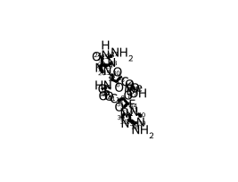 COC1C2COP(=O)(O)OC3C(COS(=O)(=O)NC1C(n1cnc4c(=O)[nH]c(N)nc41)O2)OC(n1cnc2c(N)ncnc21)C3F